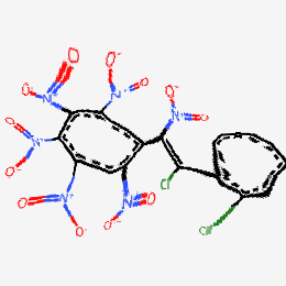 O=[N+]([O-])C(=C(Cl)c1ccccc1Cl)c1c([N+](=O)[O-])c([N+](=O)[O-])c([N+](=O)[O-])c([N+](=O)[O-])c1[N+](=O)[O-]